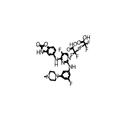 CN1CCN(c2cc(F)cc(Nc3ncc(F)c(Nc4ccc5oc(=O)[nH]c5c4)n3)c2)CC1.O=C(O)C(F)(F)F.O=C(O)C(F)(F)F